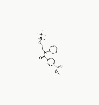 COC(=O)c1ccc(C(=O)N(CCO[Si](C)(C)C(C)(C)C)c2ccccc2)cc1